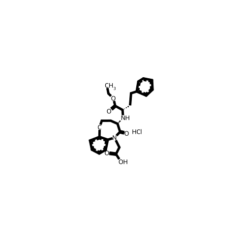 CCOC(=O)[C@H](CCc1ccccc1)N[C@H]1CCCc2ccccc2N(CC(=O)O)C1=O.Cl